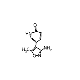 Cc1onc(N)c1-c1ccc(=O)[nH]c1